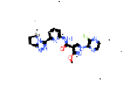 COc1nn(-c2nccnc2F)cc1C(=O)Nc1cccc(-c2nnc3n2[C@@H](C)CC3)n1